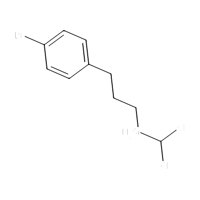 ClC(Cl)[SiH2]CCCc1ccc(Br)cc1